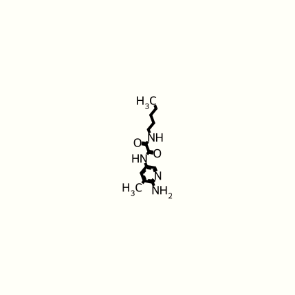 CCCCCNC(=O)C(=O)Nc1cnc(N)c(C)c1